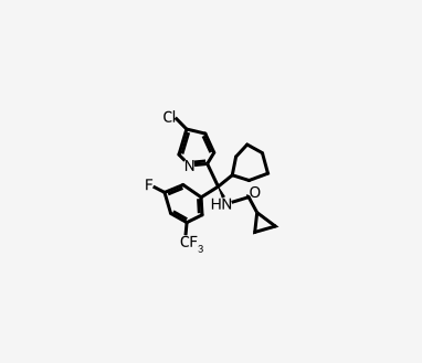 O=C(N[C@@](c1cc(F)cc(C(F)(F)F)c1)(c1ccc(Cl)cn1)C1CCCCC1)C1CC1